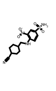 N#CC1CCC(CNc2ccc(S(N)(=O)=O)cc2[N+](=O)[O-])CC1